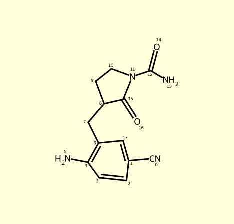 N#Cc1ccc(N)c(C[C]2CCN(C(N)=O)C2=O)c1